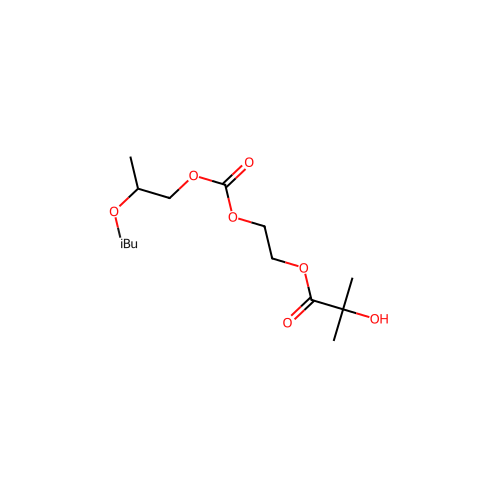 CCC(C)OC(C)COC(=O)OCCOC(=O)C(C)(C)O